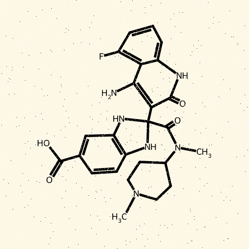 CN1CCC(N(C)C(=O)C2(c3c(N)c4c(F)cccc4[nH]c3=O)Nc3ccc(C(=O)O)cc3N2)CC1